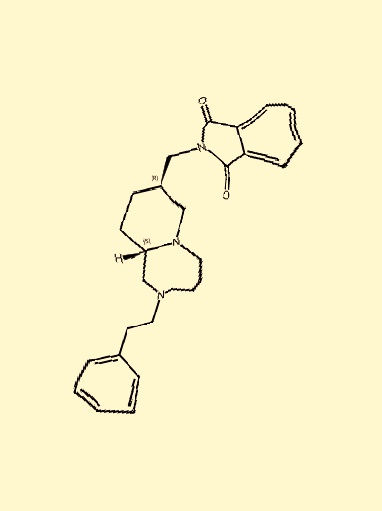 O=C1c2ccccc2C(=O)N1C[C@@H]1CC[C@H]2CN(CCc3ccccc3)CCN2C1